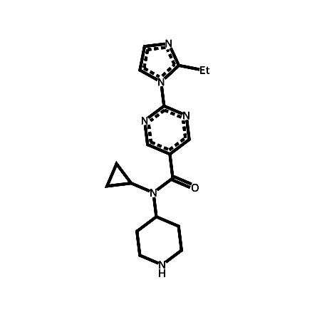 CCc1nccn1-c1ncc(C(=O)N(C2CCNCC2)C2CC2)cn1